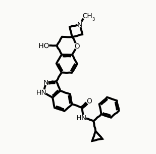 CN1CC2(CC(O)c3cc(-c4n[nH]c5ccc(C(=O)NC(c6ccccc6)C6CC6)cc45)ccc3O2)C1